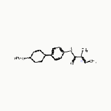 C/C=C(\C)C(=O)Nc1ccc(C2CCC(CCCCC)CC2)cc1